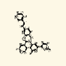 Cc1cc(N(Cc2ccc(/C=C/c3cccnc3)nc2)C(=O)C2CCOCC2)cc(-c2ccn(C)n2)n1